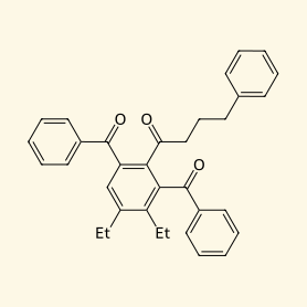 CCc1cc(C(=O)c2ccccc2)c(C(=O)CCCc2ccccc2)c(C(=O)c2ccccc2)c1CC